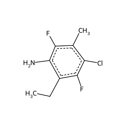 CCc1c(N)c(F)c(C)c(Cl)c1F